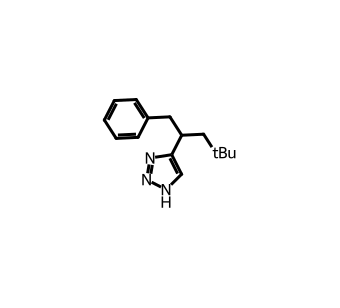 CC(C)(C)CC(Cc1ccccc1)c1c[nH]nn1